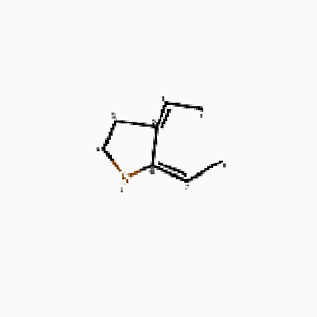 C/C=C1/CCS/C1=C/C